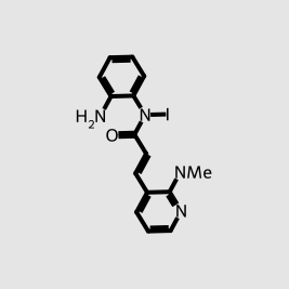 CNc1ncccc1/C=C/C(=O)N(I)c1ccccc1N